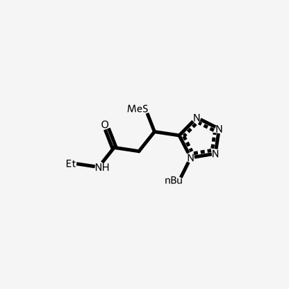 CCCCn1nnnc1C(CC(=O)NCC)SC